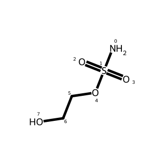 NS(=O)(=O)OCCO